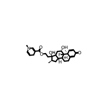 C[C@@H]1C[C@H]2[C@@H]3CCC4=CC(=O)C=C[C@]4(C)C3(F)[C@@H](O)C[C@]2(C)[C@@]1(O)CCOC(=O)C1=CN(C)C=CC1